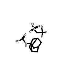 O=C(O)NC12CC3CC(CC(C3)C1)C2.O=S(=O)(O)CC(F)(F)Br